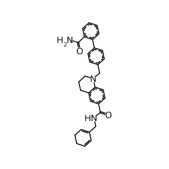 NC(=O)c1ccccc1-c1ccc(CN2CCCc3cc(C(=O)NCC4=CCCC=C4)ccc32)cc1